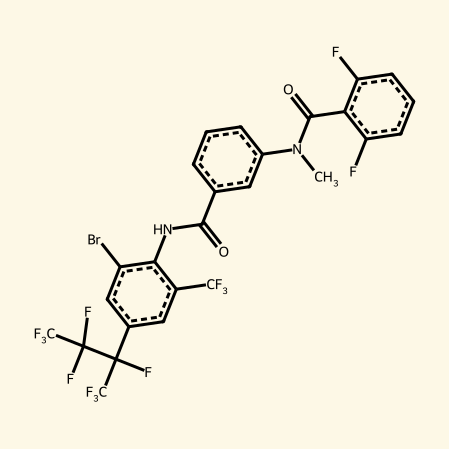 CN(C(=O)c1c(F)cccc1F)c1cccc(C(=O)Nc2c(Br)cc(C(F)(C(F)(F)F)C(F)(F)C(F)(F)F)cc2C(F)(F)F)c1